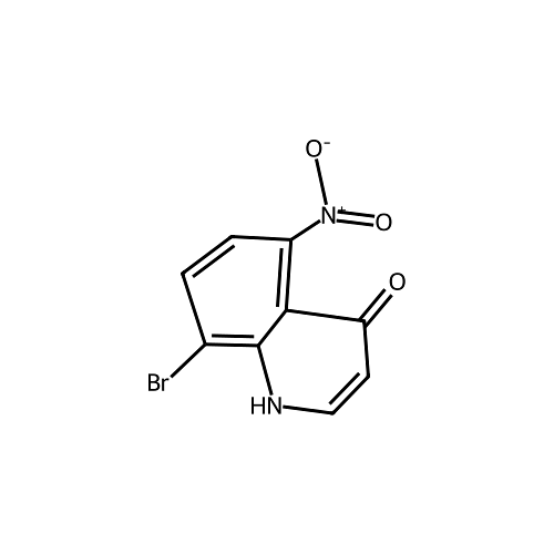 O=c1cc[nH]c2c(Br)ccc([N+](=O)[O-])c12